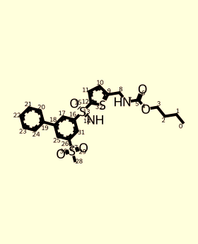 CCCCOC(=O)NCc1ccc(S(=N)(=O)c2cc(-c3ccccc3)cc(S(C)(=O)=O)c2)s1